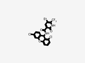 CCc1cc(C(=O)NC2c3ccc(Cl)cc3Oc3cccc(Cl)c32)c(=O)[nH]c1C(F)(F)F